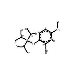 CSc1ccc(O[Si](C(C)C)(C(C)C)C(C)C)c(Br)n1